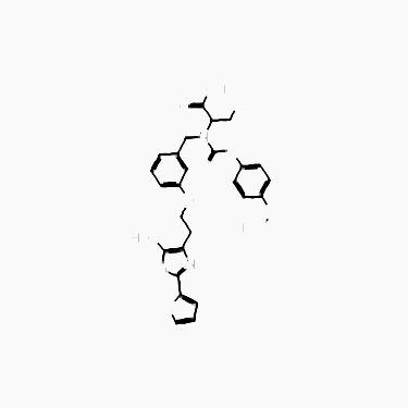 CCC(C(=O)O)N(Cc1cccc(OCCc2nc(-c3ccco3)oc2C)c1)C(=O)Oc1ccc(OC)cc1